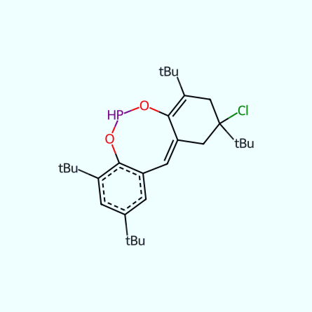 CC(C)(C)C1=C2OPOc3c(cc(C(C)(C)C)cc3C(C)(C)C)/C=C\2CC(Cl)(C(C)(C)C)C1